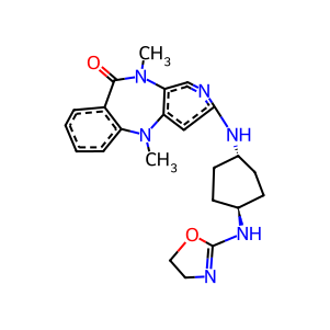 CN1C(=O)c2ccccc2N(C)c2cc(N[C@H]3CC[C@H](NC4=NCCO4)CC3)ncc21